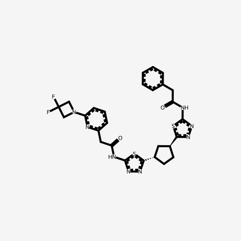 O=C(Cc1ccccc1)Nc1nnc([C@H]2CC[C@H](c3nnc(NC(=O)Cc4cccc(N5CC(F)(F)C5)n4)s3)C2)s1